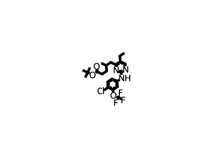 CCc1cnc(Nc2ccc(Cl)c(OC(F)(F)F)c2)nc1CC(C)CCC(=O)OC(C)(C)C